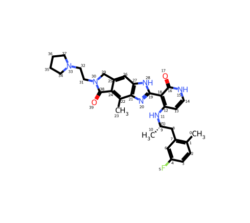 Cc1ccc(F)cc1C[C@H](C)Nc1cc[nH]c(=O)c1-c1nc2c(C)c3c(cc2[nH]1)CN(CCN1CCCC1)C3=O